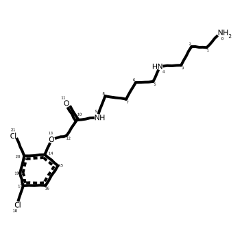 NCCCNCCCCNC(=O)COc1ccc(Cl)cc1Cl